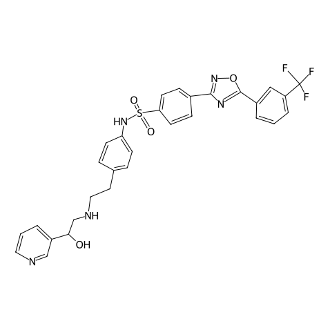 O=S(=O)(Nc1ccc(CCNCC(O)c2cccnc2)cc1)c1ccc(-c2noc(-c3cccc(C(F)(F)F)c3)n2)cc1